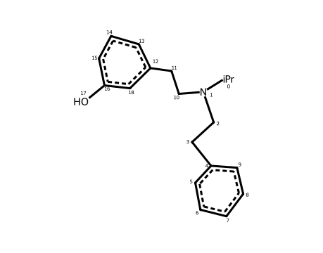 CC(C)N(CCc1ccccc1)CCc1cccc(O)c1